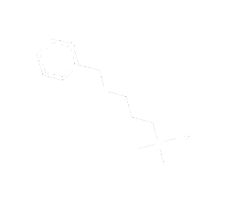 CO[Si](C)(C)CCC[S+]([O-])Cc1ccccn1